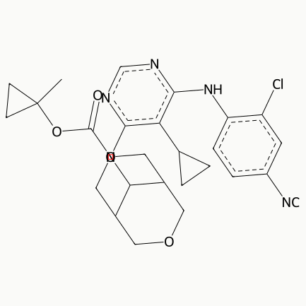 [C-]#[N+]c1ccc(Nc2ncnc(OC3C4COCC3CN(C(=O)OC3(C)CC3)C4)c2C2CC2)c(Cl)c1